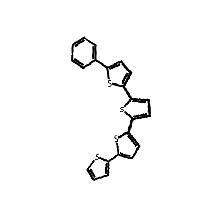 c1ccc(-c2ccc(-c3ccc(-c4ccc(-c5cccs5)s4)s3)s2)cc1